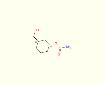 NC(=O)O[C@@H]1CCC[C@@H](CO)C1